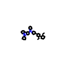 CCc1ccccc1-c1ccc(-c2ccc(N(c3ccccc3)c3ccc4c(c3)c3ccccc3n4-c3ccccc3)cc2)cc1CC